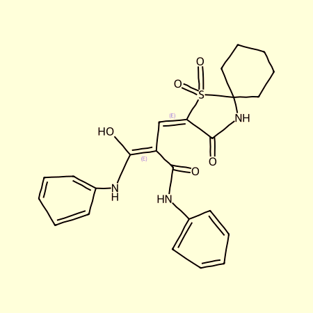 O=C1NC2(CCCCC2)S(=O)(=O)/C1=C/C(C(=O)Nc1ccccc1)=C(\O)Nc1ccccc1